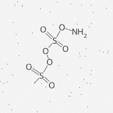 CS(=O)(=O)OOS(=O)(=O)ON